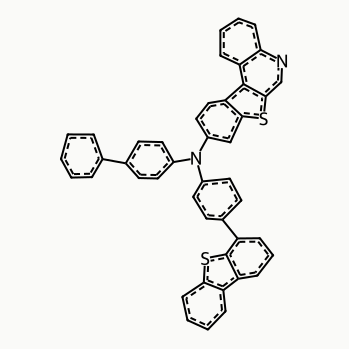 c1ccc(-c2ccc(N(c3ccc(-c4cccc5c4sc4ccccc45)cc3)c3ccc4c(c3)sc3cnc5ccccc5c34)cc2)cc1